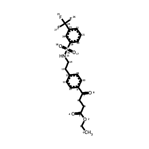 CCOC(=O)CCC(=O)c1ccc(CCNS(=O)(=O)c2cccc(C(F)(F)F)c2)cc1